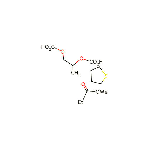 C1CCSC1.CC(COC(=O)O)OC(=O)O.CCC(=O)OC